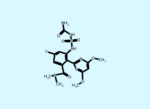 COc1cc(OC)nc(-c2c(NS(=O)(=O)NC(N)=O)cc(F)cc2C(=O)N(C)C)n1